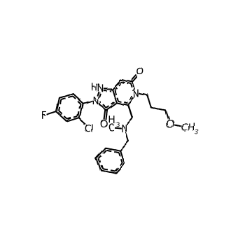 COCCCn1c(CN(C)Cc2ccccc2)c2c(=O)n(-c3ccc(F)cc3Cl)[nH]c2cc1=O